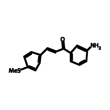 CSc1ccc(C=CC(=O)c2cccc(N)c2)cc1